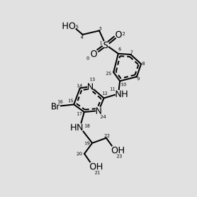 O=S(=O)(CCO)c1cccc(Nc2ncc(Br)c(NC(CO)CO)n2)c1